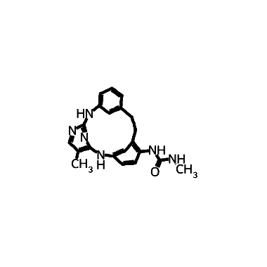 CNC(=O)Nc1ccc2cc1CCc1cccc(c1)Nc1ncc(C)c(n1)N2